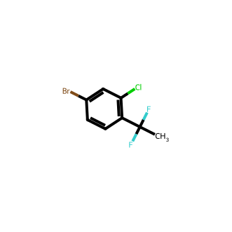 CC(F)(F)c1ccc(Br)cc1Cl